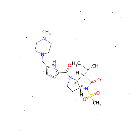 CC(C)[C@@H]1C(=O)N(S(C)(=O)=O)[C@@H]2CCN(C(=O)c3ccc(CN4CCN(C)CC4)[nH]3)[C@H]21